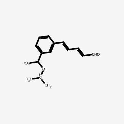 C[SiH](C)OC(c1cccc(C=CC=CC=O)c1)C(C)(C)C